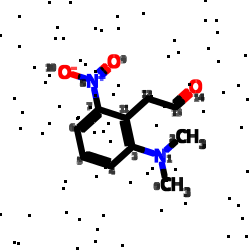 CN(C)c1cccc([N+](=O)[O-])c1CC=O